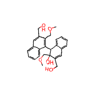 COCc1c(CO)cc2ccccc2c1C1c2ccccc2C=C(CO)C1(O)COC